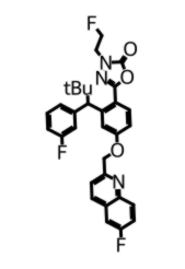 CC(C)(C)C(c1cccc(F)c1)c1cc(OCc2ccc3cc(F)ccc3n2)ccc1-c1nn(CCF)c(=O)o1